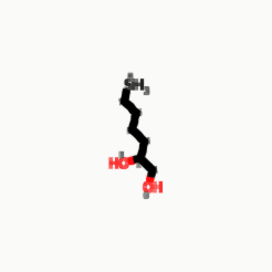 OCC(O)CCCC[SiH3]